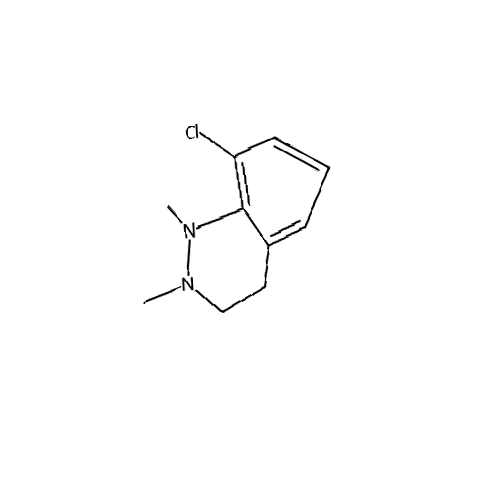 CN1CCc2cccc(Cl)c2N1C